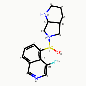 [O-][S+](c1cccc2cncc(F)c12)N1CC2CCCNC2C1